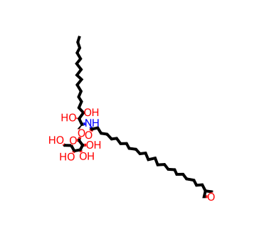 CCCCCCCCCCCCCC[C@@H](O)[C@@H](O)[C@H](COC1OC(CO)C(O)C(O)C1O)NC(=O)CCCCCCCCCCCCCCCCCCCCCCCC1COC1